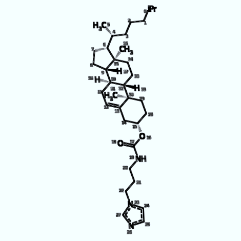 CC(C)CCC[C@@H](C)[C@H]1CC[C@H]2[C@@H]3CC=C4C[C@@H](OC(=O)NCCCn5ccnc5)CC[C@]4(C)[C@H]3CC[C@]12C